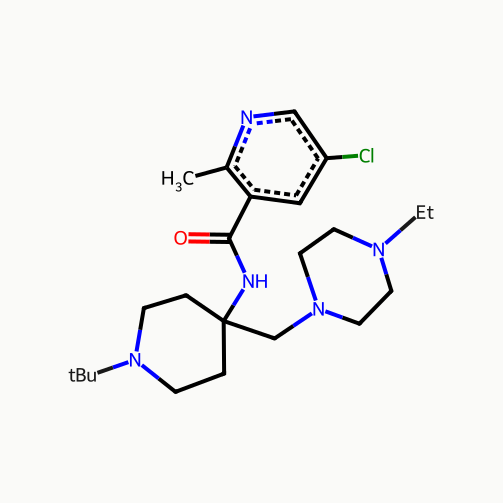 CCN1CCN(CC2(NC(=O)c3cc(Cl)cnc3C)CCN(C(C)(C)C)CC2)CC1